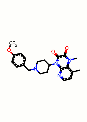 Cc1ccnc2c1n(C)c(=O)c(=O)n2C1CCN(Cc2ccc(OC(F)(F)F)cc2)CC1